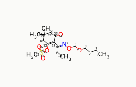 CCCCOCON=C(CC)C1=C(OS(C)(=O)=O)CC(C)(C)CC1=O